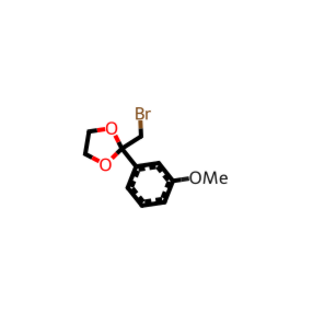 COc1cccc(C2(CBr)OCCO2)c1